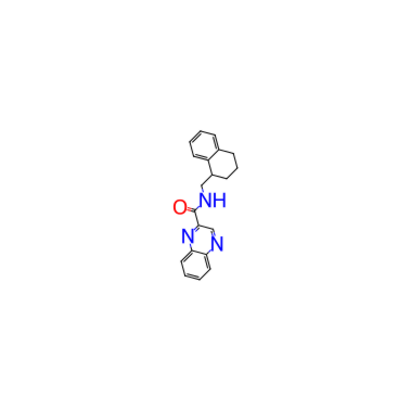 O=C(NCC1CCCc2ccccc21)c1cnc2ccccc2n1